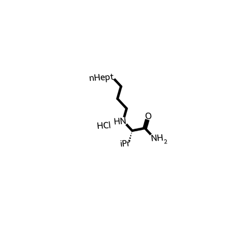 CCCCCCCCCCN[C@H](C(N)=O)C(C)C.Cl